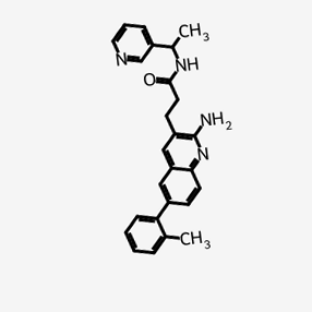 Cc1ccccc1-c1ccc2nc(N)c(CCC(=O)NC(C)c3cccnc3)cc2c1